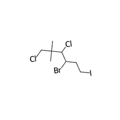 CC(C)(CCl)C(Cl)C(Br)CCI